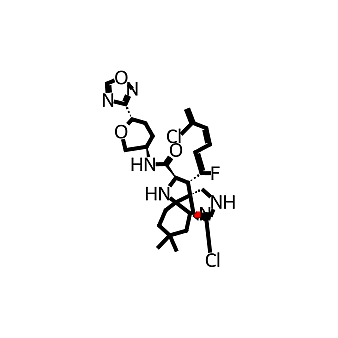 C=C(Cl)/C=C\C=C(/F)[C@H]1[C@H](C(=O)N[C@@H]2CC[C@@H](c3ncon3)OC2)NC2(CCC(C)(C)CC2)[C@@]12CNc1nc(Cl)ccc12